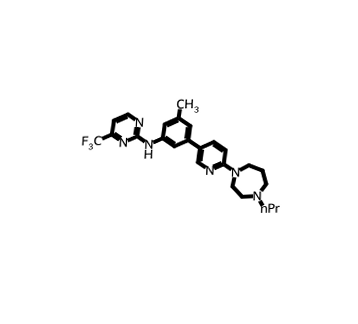 CCCN1CCCN(c2ccc(-c3cc(C)cc(Nc4nccc(C(F)(F)F)n4)c3)cn2)CC1